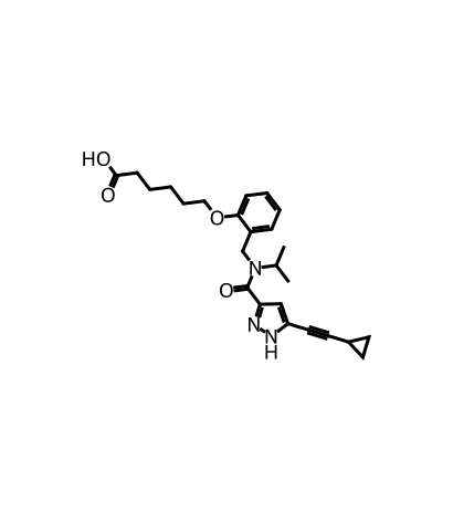 CC(C)N(Cc1ccccc1OCCCCCC(=O)O)C(=O)c1cc(C#CC2CC2)[nH]n1